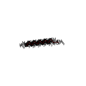 C=C(C)C(=O)CCCC[N+](C)(C)CCCC[Si](C)(C)O[Si](C)(C)CC[Si](C)(C)O[Si](C)(C)CC[Si](C)(C)O[Si](C)(C)CC[Si](C)(C)O[Si](C)(C)CC[Si](C)(C)O[Si](C)(C)CC[Si](C)(C)O[Si](C)(C)CC[Si](C)(C)O[Si](C)(C)CC[Si](C)(C)O[Si](C)(C)CC[Si](C)(C)O[Si](C)(C)CC[Si](C)(C)O[Si](C)(C)C